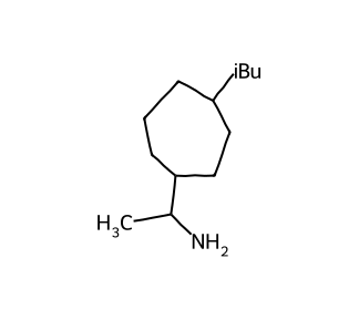 CCC(C)C1CCCC(C(C)N)CC1